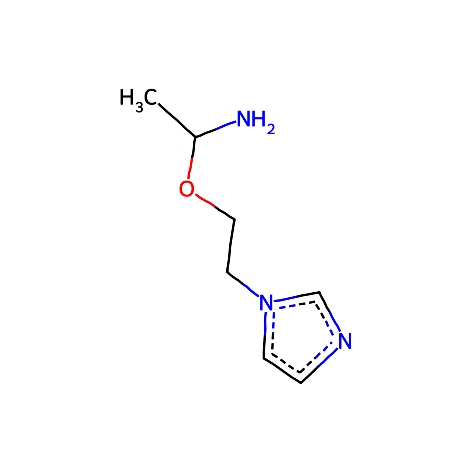 CC(N)OCCn1ccnc1